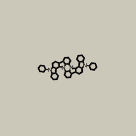 c1ccc(-n2c3ccccc3c3c2ccc2c4cccc5c4n(c4cccc6c7ccc8c(c9ccccc9n8-c8ccccc8)c7n5c64)c23)cc1